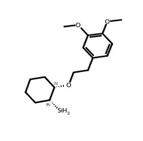 COc1ccc(CCO[C@H]2CCCC[C@H]2[SiH3])cc1OC